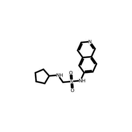 O=S(=O)(CNC1CCCC1)Nc1ccc2cnccc2c1